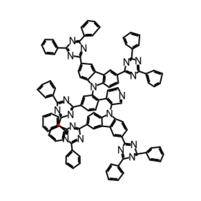 c1ccc(-c2nc(-c3ccccc3)nc(-c3ccc(-c4ccncc4-n4c5ccc(-c6nc(-c7ccccc7)nc(-c7ccccc7)n6)cc5c5cc(-c6nc(-c7ccccc7)nc(-c7ccccc7)n6)ccc54)c(-n4c5ccc(-c6nc(-c7ccccc7)nc(-c7ccccc7)n6)cc5c5cc(-c6nc(-c7ccccc7)nc(-c7ccccc7)n6)ccc54)c3)n2)cc1